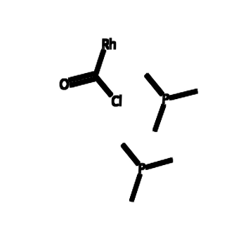 CP(C)C.CP(C)C.O=[C](Cl)[Rh]